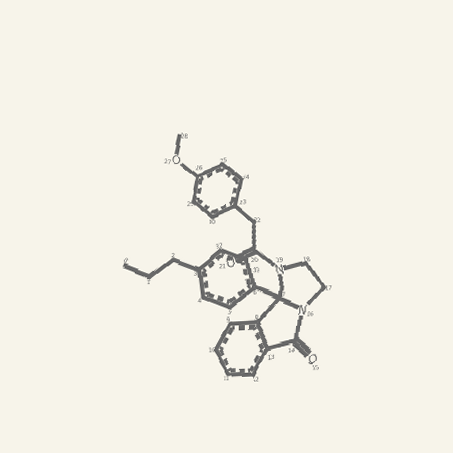 CCCc1ccc(C23c4ccccc4C(=O)N2CCN3C(=O)Cc2ccc(OC)cc2)cc1